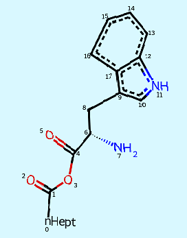 CCCCCCCC(=O)OC(=O)[C@@H](N)Cc1c[nH]c2ccccc12